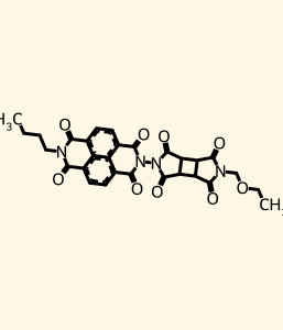 CCCCN1C(=O)c2ccc3c4c(ccc(c24)C1=O)C(=O)N(N1C(=O)C2C4C(=O)N(COCC)C(=O)C4C2C1=O)C3=O